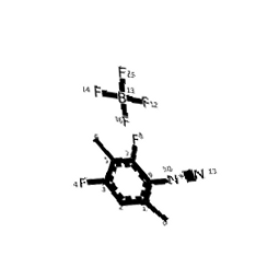 Cc1cc(F)c(C)c(F)c1[N+]#N.F[B-](F)(F)F